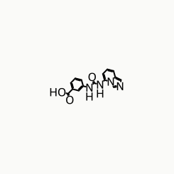 O=C(Nc1cccc(C(=O)O)c1)Nc1cccc2cncn12